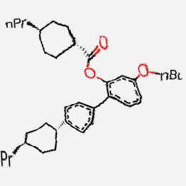 CCCCOc1ccc(-c2ccc([C@H]3CC[C@H](CCC)CC3)cc2)c(OC(=O)[C@H]2CC[C@H](CCC)CC2)c1